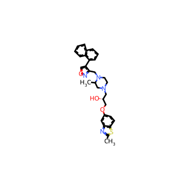 Cc1nc2cc(OC[C@H](O)CN3CCN(Cc4nocc4-c4cccc5ccccc45)C(C)C3)ccc2s1